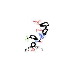 Cc1cc(N2C(=O)C(=NNc3cccc(-c4cccc(OC(=O)O)c4)c3O)c3ccc(C(F)(F)F)cc32)cc(C)c1O